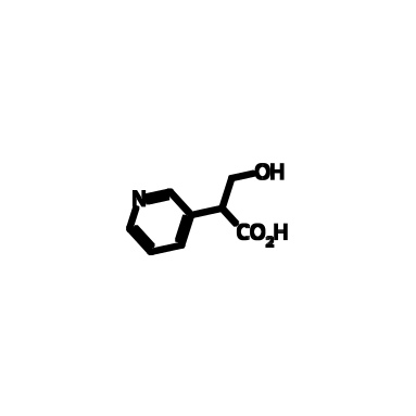 O=C(O)C(CO)c1cccnc1